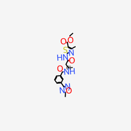 CCOC(=O)c1sc(NC(=O)C[C@@H](C)NC(=O)c2cccc(-c3noc(C)n3)c2)nc1C